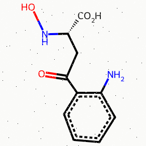 Nc1ccccc1C(=O)C[C@H](NO)C(=O)O